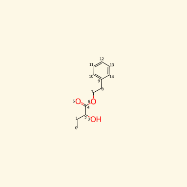 CCC(O)C(=O)OCCc1ccccc1